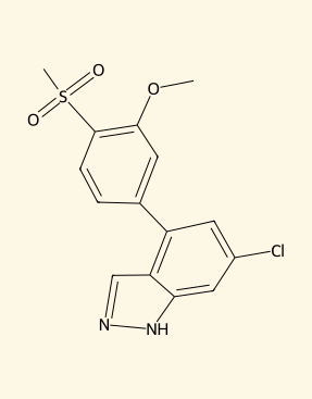 COc1cc(-c2cc(Cl)cc3[nH]ncc23)ccc1S(C)(=O)=O